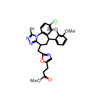 COC(=O)CCc1cnc(CC2CC(c3cccc(OC)c3OC)c3cc(Cl)ccc3-n3c(C(C)C)nnc32)o1